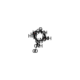 CNC(=O)C[C@@H]1NC(=O)c2csc(n2)-c2ccc(-c3nc(NC(=O)CCCCC(=O)OC)cs3)nc2-c2csc(n2)-c2csc(n2)[C@H]([C@@H](O)c2ccccc2)NC(=O)CNC(=O)c2nc(sc2COC)NC(=O)c2nc1sc2C